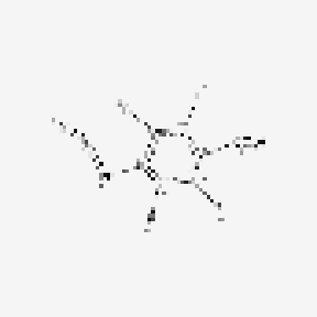 [N-]=[N+]=Nc1c(F)c(F)c(C(=O)O)c(F)c1F